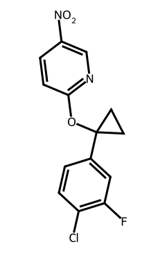 O=[N+]([O-])c1ccc(OC2(c3ccc(Cl)c(F)c3)CC2)nc1